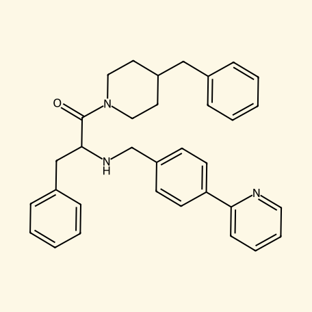 O=C(C(Cc1ccccc1)NCc1ccc(-c2ccccn2)cc1)N1CCC(Cc2ccccc2)CC1